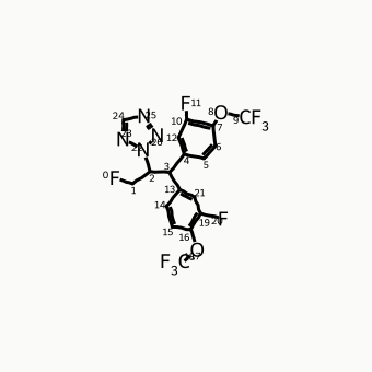 FCC(C(c1ccc(OC(F)(F)F)c(F)c1)c1ccc(OC(F)(F)F)c(F)c1)n1ncnn1